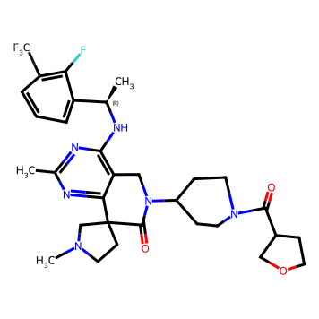 Cc1nc(N[C@H](C)c2cccc(C(F)(F)F)c2F)c2c(n1)C1(CCN(C)C1)C(=O)N(C1CCN(C(=O)C3CCOC3)CC1)C2